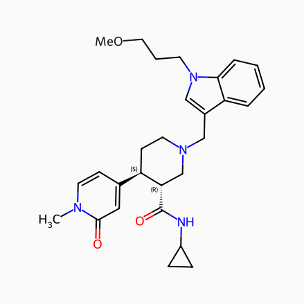 COCCCn1cc(CN2CC[C@H](c3ccn(C)c(=O)c3)[C@@H](C(=O)NC3CC3)C2)c2ccccc21